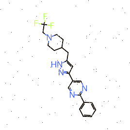 FC(F)(F)CN1CCC(Cc2cc(-c3cnc(-c4ccccc4)nc3)n[nH]2)CC1